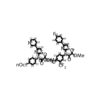 CCCCCCCCc1ccc(N(C(=O)C(=O)OC)c2nc(-c3cccnc3)cs2)cc1.CCCCCOc1ccc(N(C(=O)C(=O)OC)c2nc(-c3ccc(F)cc3)cs2)cc1C(F)(F)F